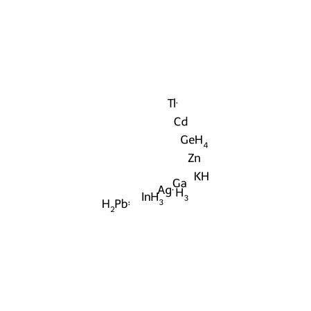 [Ag].[Cd].[GaH3].[GeH4].[InH3].[KH].[PbH2].[Tl].[Zn]